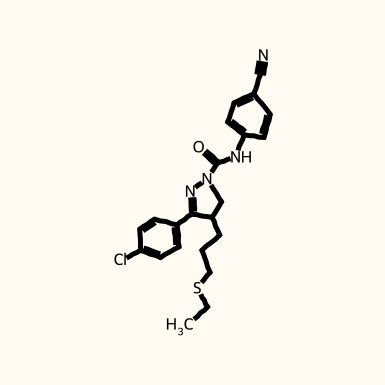 CCSCCCC1CN(C(=O)Nc2ccc(C#N)cc2)N=C1c1ccc(Cl)cc1